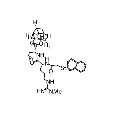 CNC(=N)NCCC[C@H](NC(=O)CSc1ccc2ccccc2c1)C(=O)N[C@@H](CC(C)C)B1O[C@@H]2C[C@@H]3C[C@@H](C3(C)C)[C@]2(C)O1